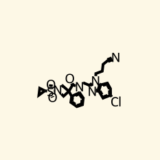 N#CCCCn1c(CN2C(=O)C3(CN(S(=O)(=O)C4CC4)C3)c3ccccc32)nc2cc(Cl)ccc21